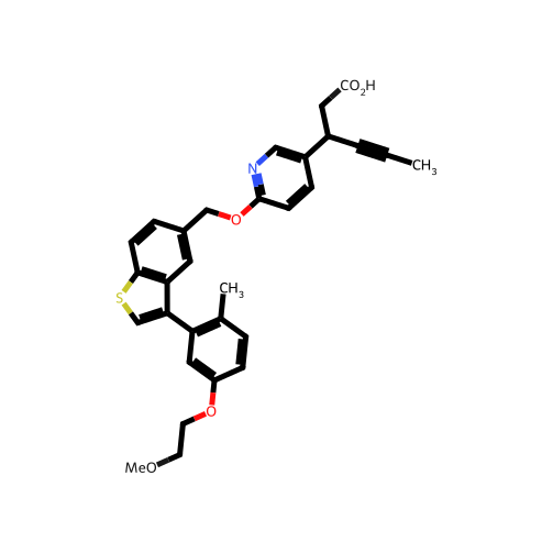 CC#CC(CC(=O)O)c1ccc(OCc2ccc3scc(-c4cc(OCCOC)ccc4C)c3c2)nc1